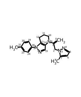 C=C(Cn1nccc1C)N1CCCc2c1cnn2-c1ccc(C)cc1